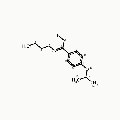 CCCCN=C(CF)c1ccc(OC(C)C)cc1